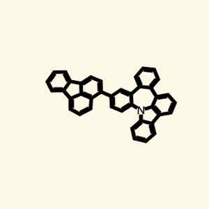 c1ccc2c(c1)-c1cc(-c3ccc4c5c(cccc35)-c3ccccc3-4)ccc1-n1c3ccccc3c3cccc-2c31